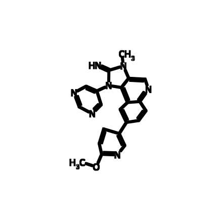 COc1ccc(-c2ccc3ncc4c(c3c2)n(-c2cncnc2)c(=N)n4C)cn1